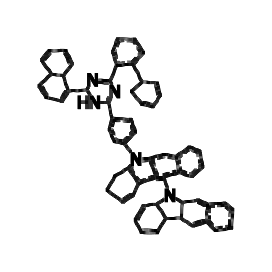 C1=CCC(c2ccccc2C2=NC(C3=CC=CC4C=CC=CC34)NC(c3ccc(-n4c5c(c6c(N7C8C=CC=CC8C8C=c9ccccc9=CC87)c7ccccc7cc64)C=CCC5)cc3)=N2)C=C1